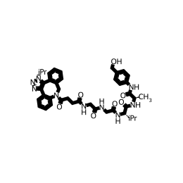 CC(C)[C@H](NC(=O)CNC(=O)CNC(=O)CCC(=O)N1Cc2ccccc2-c2c(nnn2C(C)C)-c2ccccc21)C(=O)N[C@@H](C)C(=O)Nc1ccc(CO)cc1